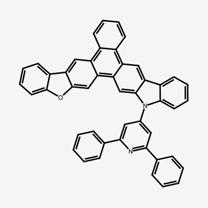 c1ccc(-c2cc(-n3c4ccccc4c4cc5c6ccccc6c6cc7c(cc6c5cc43)oc3ccccc37)cc(-c3ccccc3)n2)cc1